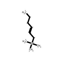 CCC/C=C/C[Si](C)(C)C